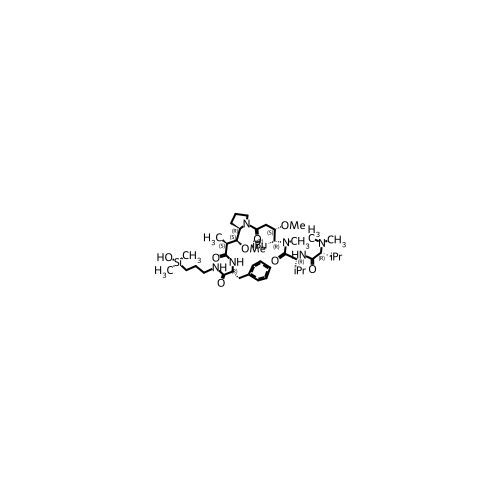 CC[C@@H](C)[C@H]([C@H](CC(=O)N1CCC[C@@H]1[C@@H](OC)[C@H](C)C(=O)N[C@H](Cc1ccccc1)C(=O)NCCC[Si](C)(C)O)OC)N(C)C(=O)[C@H](NC(=O)[C@@H](C(C)C)N(C)C)C(C)C